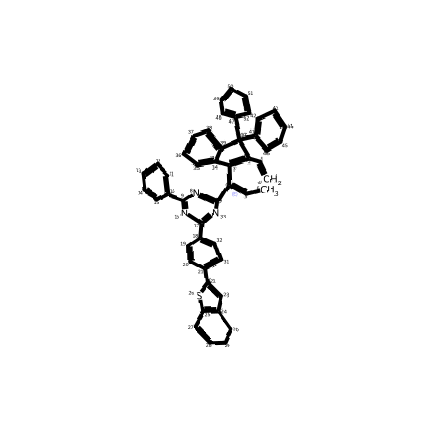 C=CC1=C(/C(=C\C)c2nc(-c3ccccc3)nc(-c3ccc(-c4cc5c(s4)C=CCC5)cc3)n2)c2ccccc2C1(c1ccccc1)c1ccccc1